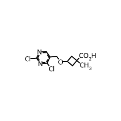 CC1(C(=O)O)CC(OCc2cnc(Cl)nc2Cl)C1